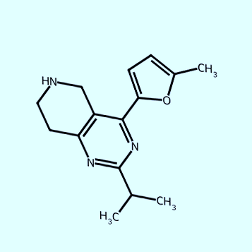 Cc1ccc(-c2nc(C(C)C)nc3c2CNCC3)o1